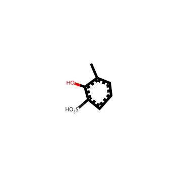 Cc1cccc(S(=O)(=O)O)c1O